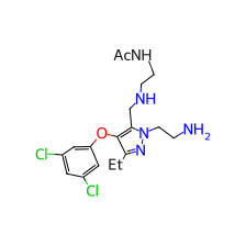 CCc1nn(CCN)c(CNCCNC(C)=O)c1Oc1cc(Cl)cc(Cl)c1